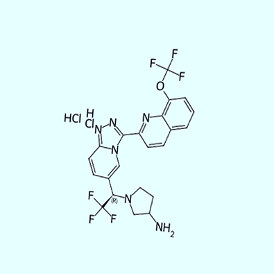 Cl.Cl.NC1CCN([C@H](c2ccc3nnc(-c4ccc5cccc(OC(F)(F)F)c5n4)n3c2)C(F)(F)F)C1